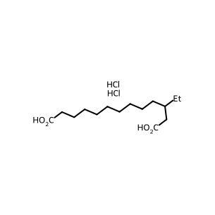 CCC(CCCCCCCCCC(=O)O)CC(=O)O.Cl.Cl